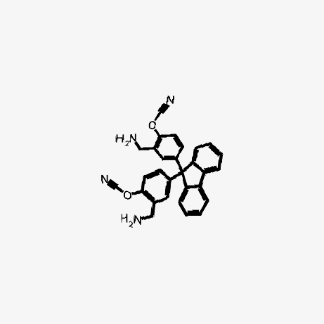 N#COc1ccc(C2(c3ccc(OC#N)c(CN)c3)c3ccccc3-c3ccccc32)cc1CN